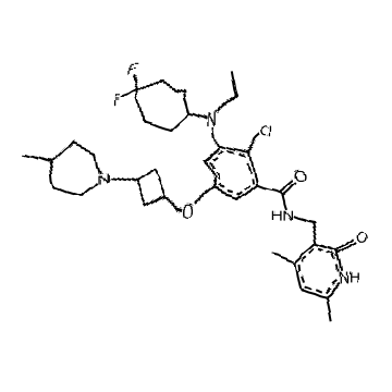 CCN(c1cc(OC2CC(N3CCC(C)CC3)C2)cc(C(=O)NCc2c(C)cc(C)[nH]c2=O)c1Cl)C1CCC(F)(F)CC1